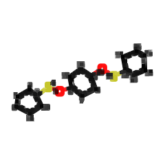 c1ccc(SOc2ccc(OSc3ccccc3)cc2)cc1